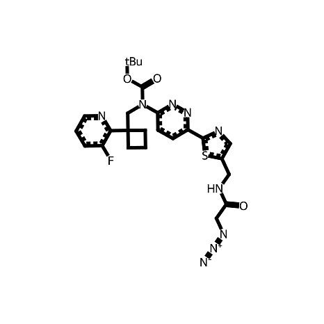 CC(C)(C)OC(=O)N(CC1(c2ncccc2F)CCC1)c1ccc(-c2ncc(CNC(=O)CN=[N+]=[N-])s2)nn1